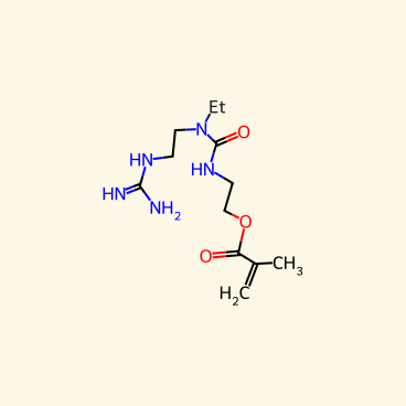 C=C(C)C(=O)OCCNC(=O)N(CC)CCNC(=N)N